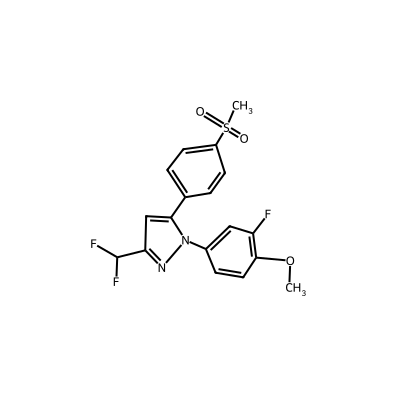 COc1ccc(-n2nc(C(F)F)cc2-c2ccc(S(C)(=O)=O)cc2)cc1F